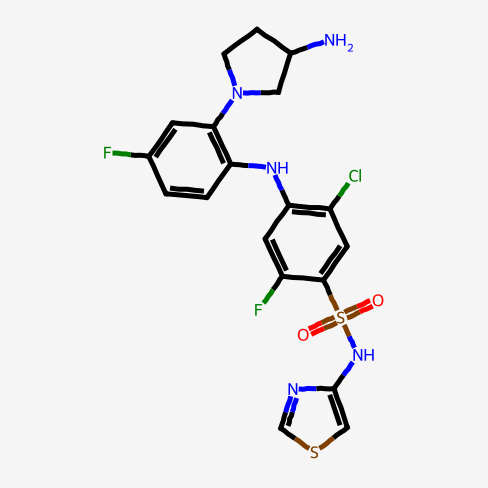 NC1CCN(c2cc(F)ccc2Nc2cc(F)c(S(=O)(=O)Nc3cscn3)cc2Cl)C1